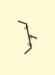 CCCCCCC/C=C\COC(=O)CCCCCCC(CCCCCCC(=O)OC/C=C\CCCCCCC)OC(=O)CCCN(C)C